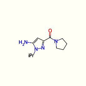 CC(C)n1nc(C(=O)N2CCCC2)cc1N